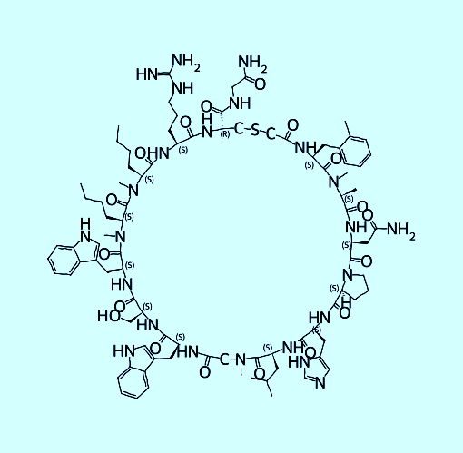 CCCC[C@H]1C(=O)N(C)[C@@H](CCCC)C(=O)N[C@@H](CCCNC(=N)N)C(=O)N[C@H](C(=O)NCC(N)=O)CSCC(=O)N[C@@H](Cc2ccccc2C)C(=O)N(C)[C@@H](C)C(=O)N[C@@H](CC(N)=O)C(=O)N2CCC[C@H]2C(=O)N[C@@H](Cc2cnc[nH]2)C(=O)N[C@@H](CC(C)C)C(=O)N(C)CC(=O)N[C@@H](Cc2c[nH]c3ccccc23)C(=O)N[C@@H](CO)C(=O)N[C@@H](Cc2c[nH]c3ccccc23)C(=O)N1C